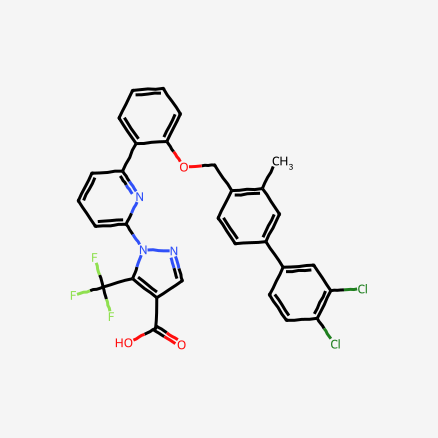 Cc1cc(-c2ccc(Cl)c(Cl)c2)ccc1COc1ccccc1-c1cccc(-n2ncc(C(=O)O)c2C(F)(F)F)n1